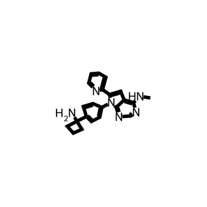 CNc1ncnc2c1cc(-c1ccccn1)n2-c1ccc(C2(N)CCC2)cc1